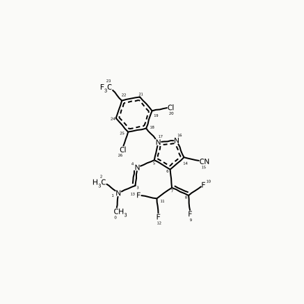 CN(C)C=Nc1c(C(=C(F)F)C(F)F)c(C#N)nn1-c1c(Cl)cc(C(F)(F)F)cc1Cl